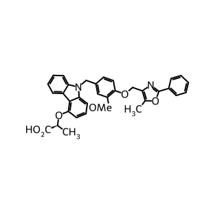 COc1cc(Cn2c3ccccc3c3c(O[C@@H](C)C(=O)O)cccc32)ccc1OCc1nc(-c2ccccc2)oc1C